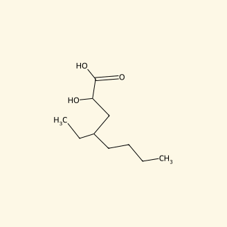 CCCCC(CC)CC(O)C(=O)O